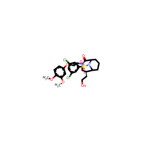 COc1ccc(OCCN2C[C@H](CCO)C3CCCC(C2=O)N3S(=O)(=O)c2cc(Cl)cc(Cl)c2)cc1OC